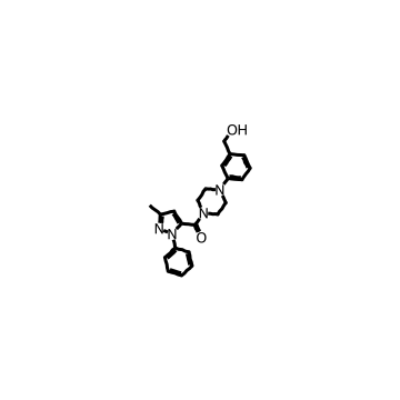 Cc1cc(C(=O)N2CCN(c3cccc(CO)c3)CC2)n(-c2ccccc2)n1